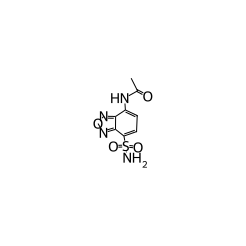 CC(=O)Nc1ccc(S(N)(=O)=O)c2nonc12